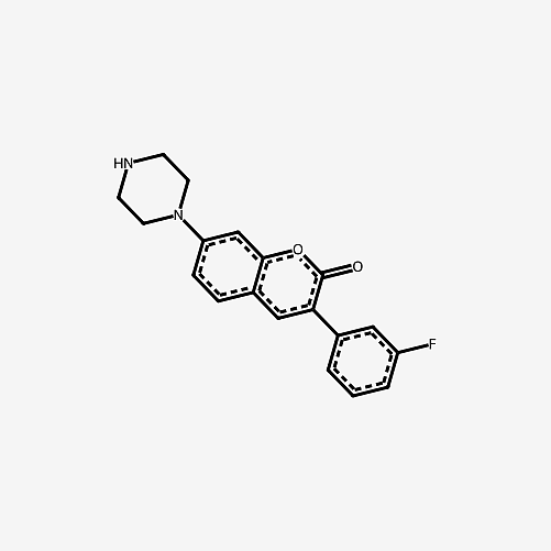 O=c1oc2cc(N3CCNCC3)ccc2cc1-c1cccc(F)c1